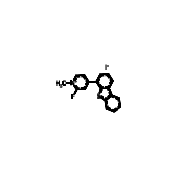 C[n+]1ccc(-c2cccc3c2sc2ccccc23)cc1F.[I-]